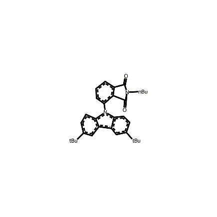 CCCCN1C(=O)c2cccc(-n3c4ccc(C(C)(C)C)cc4c4cc(C(C)(C)C)ccc43)c2C1=O